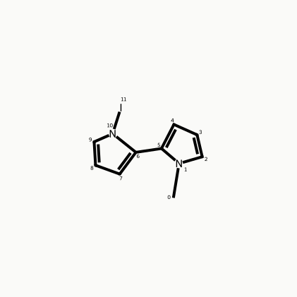 Cn1cccc1-c1cccn1I